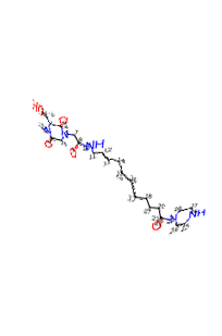 C[C@@H](O)C1C(=O)N(CC(=O)NCCCCCCCCCCC(=O)N2CCNCC2)CC(=O)N1C